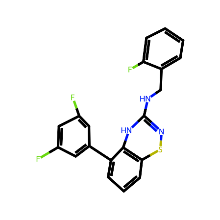 Fc1cc(F)cc(-c2cccc3c2NC(NCc2ccccc2F)=NS3)c1